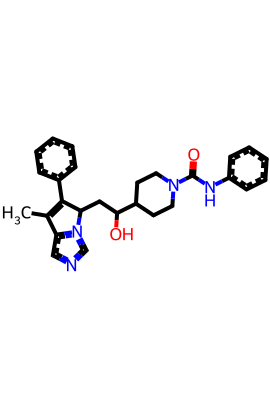 CC1=C(c2ccccc2)C(CC(O)C2CCN(C(=O)Nc3ccccc3)CC2)n2cncc21